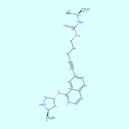 CCOC(=O)[C@@H]1C[C@@H](Oc2nccc3ccc(C#CCCCOC(=O)N[C@H](C(=O)O)C(C)(C)C)cc23)CN1